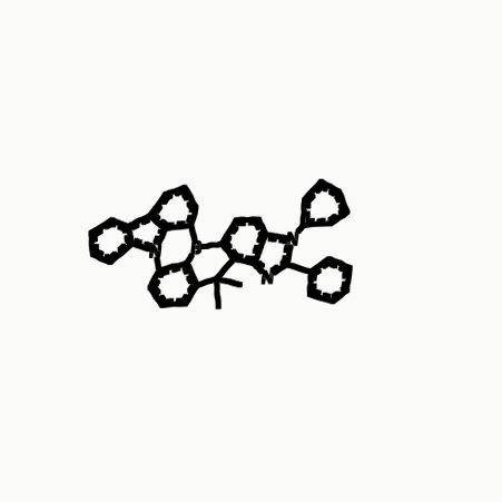 CC1(C)c2cccc3c2B(c2ccc4c(nc(-c5ccccc5)n4-c4ccccc4)c21)c1cccc2c4ccccc4n-3c12